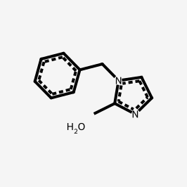 Cc1nccn1Cc1ccccc1.O